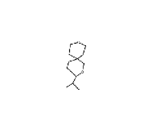 CC(C)C1CCC2(CCOCC2)CO1